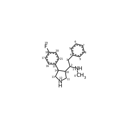 CNC(Cc1ccccc1)C1CNCC1c1ccc(F)cc1